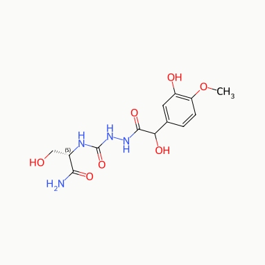 COc1ccc(C(O)C(=O)NNC(=O)N[C@@H](CO)C(N)=O)cc1O